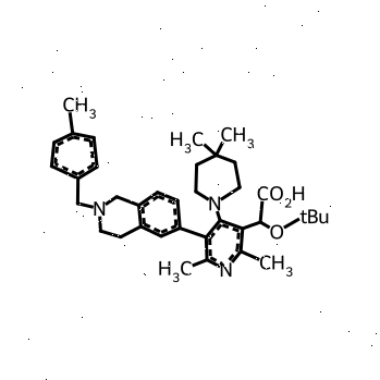 Cc1ccc(CN2CCc3cc(-c4c(C)nc(C)c(C(OC(C)(C)C)C(=O)O)c4N4CCC(C)(C)CC4)ccc3C2)cc1